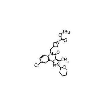 Cc1c2c(=O)n(CC3CN(C(=O)OC(C)(C)C)C3)c3ccc(Cl)cc3c2nn1C1CCCCO1